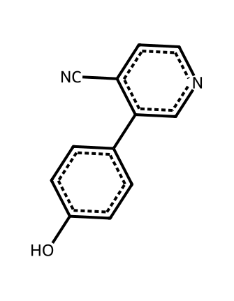 N#Cc1ccncc1-c1ccc(O)cc1